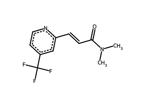 CN(C)C(=O)C=Cc1cc(C(F)(F)F)ccn1